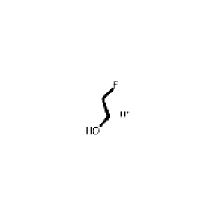 OCCF.[H+]